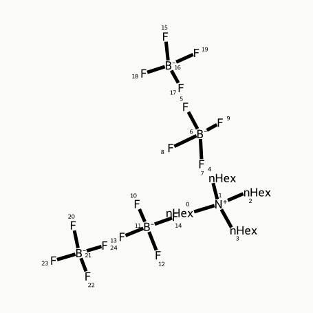 CCCCCC[N+](CCCCCC)(CCCCCC)CCCCCC.F[B-](F)(F)F.F[B-](F)(F)F.F[B-](F)(F)F.F[B-](F)(F)F